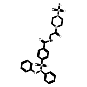 CCS(=O)(=O)N1CCN(C(=O)CNC(=O)c2ccc(S(=O)(=O)N(Oc3ccccc3)c3ccccc3)cc2)CC1